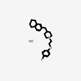 Cl.Fc1ccc(OCCN2CCC(Cc3ccc4c(c3)CCCC4)CC2)cc1